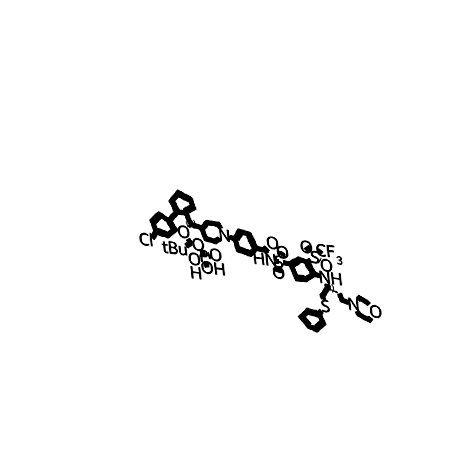 CC(C)(C)C(O[C@@H](c1ccccc1-c1ccc(Cl)cc1)C1CCN(c2ccc(C(=O)NS(=O)(=O)c3ccc(N[C@H](CCN4CCOCC4)CSc4ccccc4)c(S(=O)(=O)C(F)(F)F)c3)cc2)CC1)OP(=O)(O)O